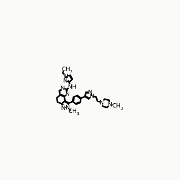 CCn1ccc(Nc2ncc3c(n2)-c2c(nn(C)c2-c2ccc(-c4cnn(CCN5CCN(C)CC5)c4)cc2)CC3)n1